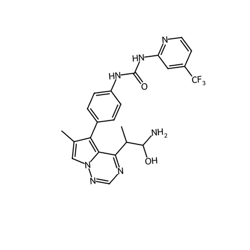 Cc1cn2ncnc(C(C)C(N)O)c2c1-c1ccc(NC(=O)Nc2cc(C(F)(F)F)ccn2)cc1